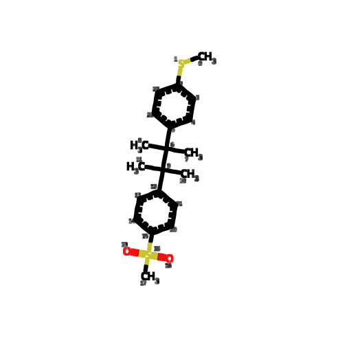 CSc1ccc(C(C)(C)C(C)(C)c2ccc(S(C)(=O)=O)cc2)cc1